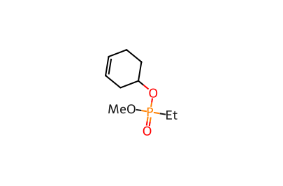 CCP(=O)(OC)OC1CC=CCC1